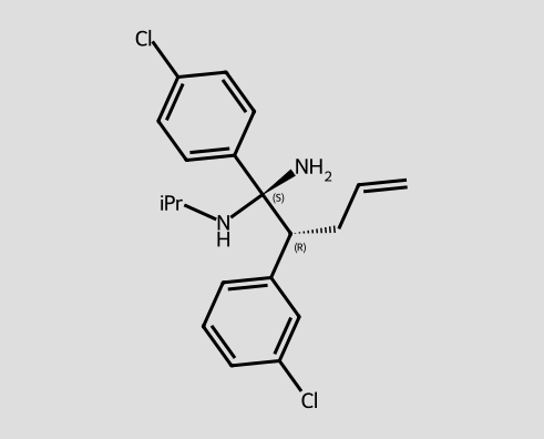 C=CC[C@H](c1cccc(Cl)c1)[C@](N)(NC(C)C)c1ccc(Cl)cc1